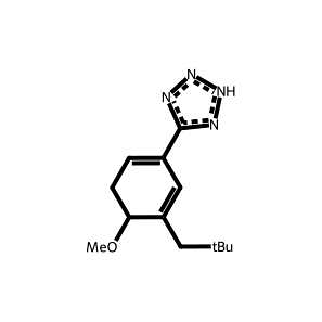 COC1CC=C(c2nn[nH]n2)C=C1CC(C)(C)C